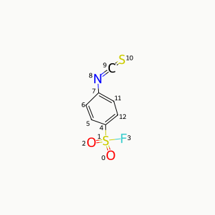 O=S(=O)(F)c1ccc(N=C=S)cc1